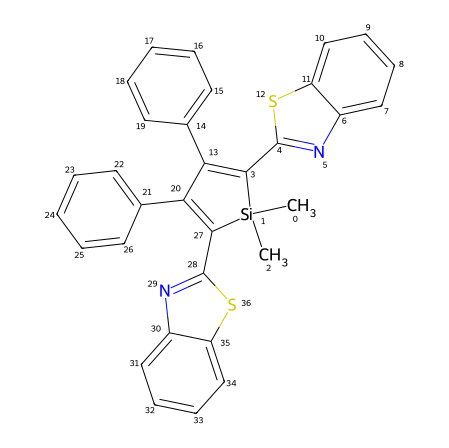 C[Si]1(C)C(c2nc3ccccc3s2)=C(c2ccccc2)C(c2ccccc2)=C1c1nc2ccccc2s1